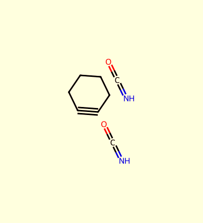 C1#CCCCC1.N=C=O.N=C=O